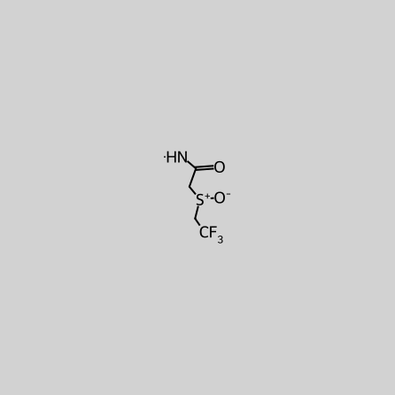 [NH]C(=O)C[S+]([O-])CC(F)(F)F